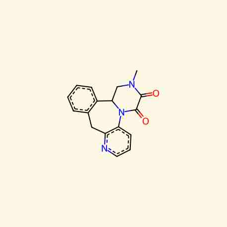 CN1CC2c3ccccc3Cc3ncccc3N2C(=O)C1=O